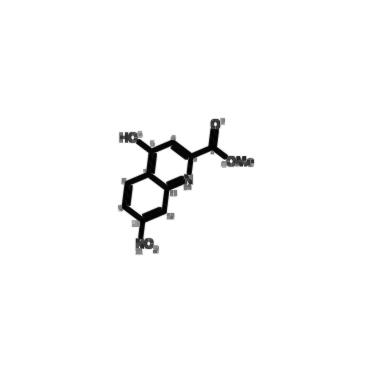 COC(=O)c1cc(O)c2ccc([N+](=O)[O-])cc2n1